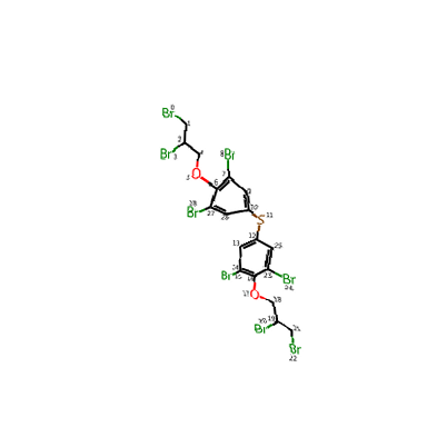 BrCC(Br)COc1c(Br)cc(Sc2cc(Br)c(OCC(Br)CBr)c(Br)c2)cc1Br